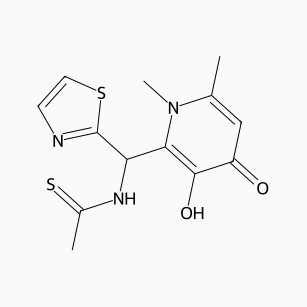 CC(=S)NC(c1nccs1)c1c(O)c(=O)cc(C)n1C